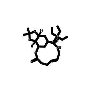 CC[Si](CC)(CC)O[C@@]12CC(OC(=O)CC/C=C/CNC1=O)[C@@H]1OC(C)(C)O[C@@H]1C2